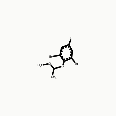 COC(C)Oc1c(Br)cc(F)cc1Br